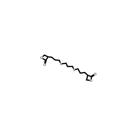 O=C1OCC1CCCSCCCSCCCC1COC1=O